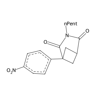 CCCCCN1C(=O)C2CC(c3ccc([N+](=O)[O-])cc3)(C2)C1=O